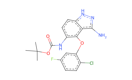 CC(C)(C)OC(=O)Nc1ccc2[nH]nc(N)c2c1Oc1cc(F)ccc1Cl